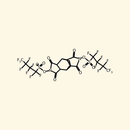 O=C1C2C3C=CC(C2C(=O)N1OS(=O)(=O)C(F)(F)C(F)(F)C(F)(F)C(F)(F)F)C1C(=O)N(OS(=O)(=O)C(F)(F)C(F)(F)C(F)(F)C(F)(F)F)C(=O)C31